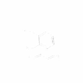 C=CC=C.CCOC(=O)c1ccccc1C(=O)OCC